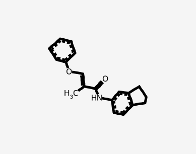 C/C(=C\Oc1ccccc1)C(=O)Nc1ccc2c(c1)CCC2